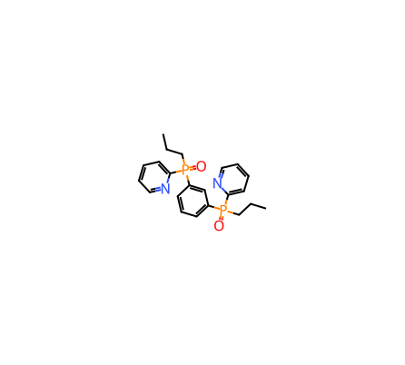 CCCP(=O)(c1cccc(P(=O)(CCC)c2ccccn2)c1)c1ccccn1